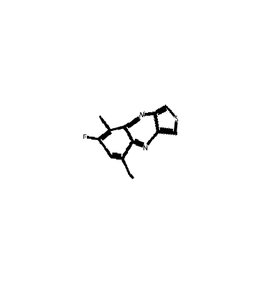 Cc1cc(F)c(C)c2nc3cscc3nc12